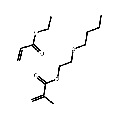 C=C(C)C(=O)OCCOCCCC.C=CC(=O)OCC